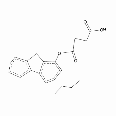 CCCC.O=C(O)CCC(=O)Oc1cccc2c1Cc1ccccc1-2